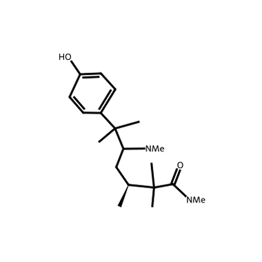 CNC(=O)C(C)(C)[C@@H](C)CC(NC)C(C)(C)c1ccc(O)cc1